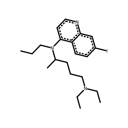 CCCN(c1ccnc2cc(I)ccc12)C(C)CCCN(CC)CC